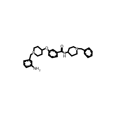 Nc1cccc(CN2CCC(Oc3cccc(C(=O)NC4CCN(Cc5ccccc5)CC4)c3)CC2)c1